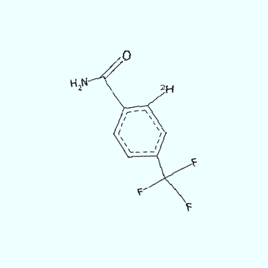 [2H]c1cc(C(F)(F)F)ccc1C(N)=O